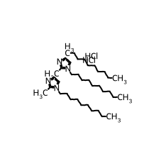 CCCCCCCCCC.CCCCCCCCCCn1ccnc1C.CCCCCCCCCCn1ccnc1C.Cl.Cl